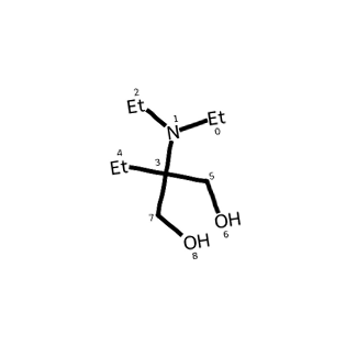 CCN(CC)C(CC)(CO)CO